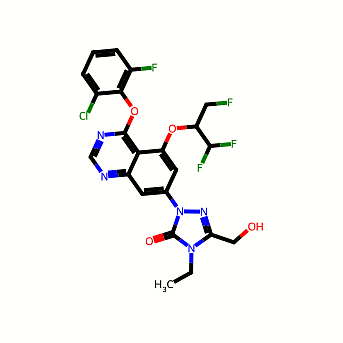 CCn1c(CO)nn(-c2cc(OC(CF)C(F)F)c3c(Oc4c(F)cccc4Cl)ncnc3c2)c1=O